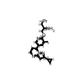 Cc1cc(-c2ccnc3cc(C4CC4)nn23)cnc1OCC(N)CC(C)C